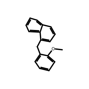 COc1ccccc1[CH]c1cccc2ccccc12